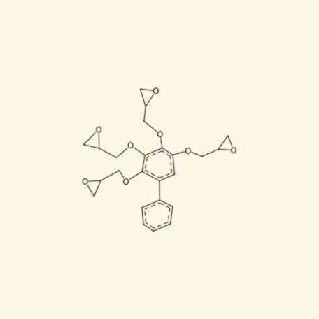 c1ccc(-c2cc(OCC3CO3)c(OCC3CO3)c(OCC3CO3)c2OCC2CO2)cc1